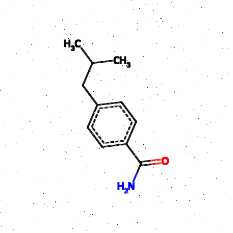 CC(C)Cc1ccc(C(N)=O)cc1